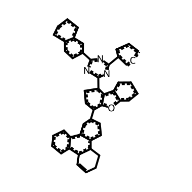 C1=Cc2c(c3ccc(-c4ccc(-c5nc(-c6ccccc6)nc(-c6ccc7ccccc7c6)n5)c5c4oc4ccccc45)cc3c3ccccc23)CC1